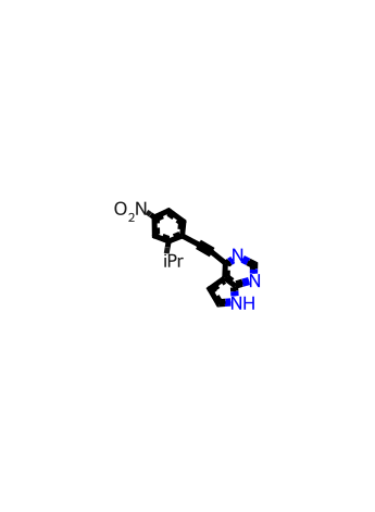 CC(C)c1cc([N+](=O)[O-])ccc1C#Cc1ncnc2[nH]ccc12